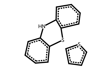 c1ccc2c(c1)Nc1ccccc1S2.c1ccsc1